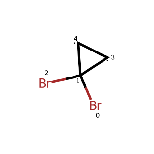 BrC1(Br)[CH][CH]1